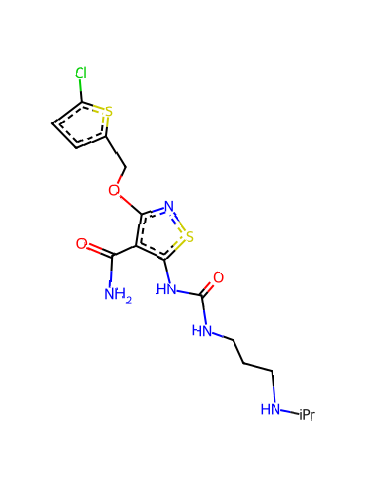 CC(C)NCCCNC(=O)Nc1snc(OCc2ccc(Cl)s2)c1C(N)=O